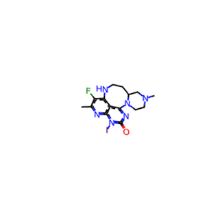 Cc1nc2c3c(nc(=O)n2I)N2CCN(C)CC2CCNc3c1F